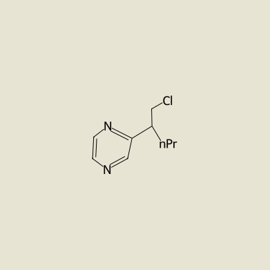 CCCC(CCl)c1cnccn1